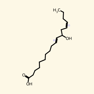 CCC/C=C\CC(O)/C=C/CCCCCCCCC(=O)O